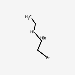 Br.CCNCCBr